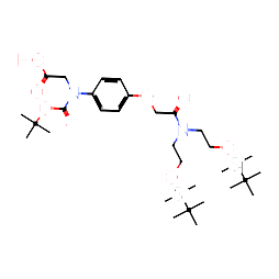 CC(C)(C)OC(=O)N(CC(=O)O)c1ccc(OCC(=O)N(CCO[Si](C)(C)C(C)(C)C)CCO[Si](C)(C)C(C)(C)C)cc1